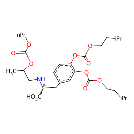 CCCOC(=O)OC(C)CN[C@@H](Cc1ccc(OC(=O)OCCC(C)C)c(OC(=O)OCCC(C)C)c1)C(=O)O